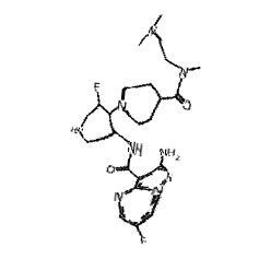 CN(C)CCN(C)C(=O)C1CCN(C2C(F)CNCC2NC(=O)c2c(N)nn3cc(F)cnc23)CC1